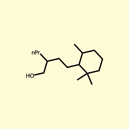 CCCC(CO)CCC1C(C)CCCC1(C)C